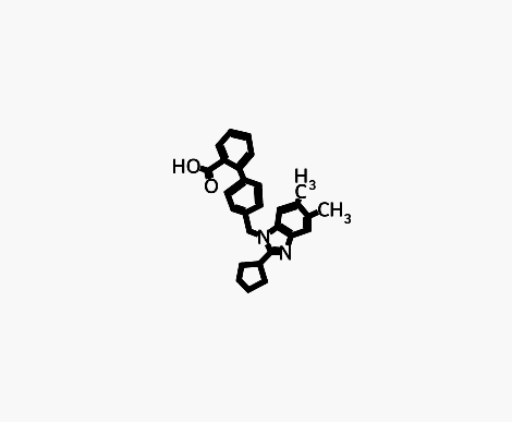 Cc1cc2nc(C3CCCC3)n(Cc3ccc(-c4ccccc4C(=O)O)cc3)c2cc1C